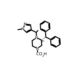 CC(c1cnn(C)c1)N1CCN(C(=O)O)C[C@H]1C(c1ccccc1)c1ccccc1